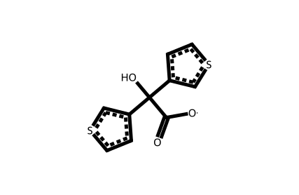 [O]C(=O)C(O)(c1ccsc1)c1ccsc1